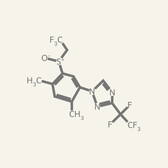 Cc1cc(C)c([S+]([O-])CC(F)(F)F)cc1-n1cnc(C(F)(F)C(F)(F)F)n1